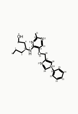 CCC[C@@H](CCO)Nc1nc(C)ncc1OCc1cn(-c2ccccc2)cn1